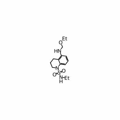 CCNS(=O)(=O)N1CCCc2c(NCOCC)cccc21